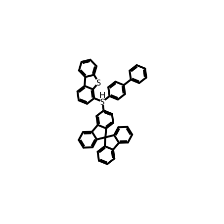 c1ccc(-c2ccc([SH](c3ccc4c(c3)-c3ccccc3C43c4ccccc4-c4ccccc43)c3cccc4c3sc3ccccc34)cc2)cc1